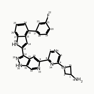 NC1CN(c2cncc(-c3cc4c(-c5cc6c(-c7cccc(F)c7)cccc6[nH]5)n[nH]c4cn3)n2)C1